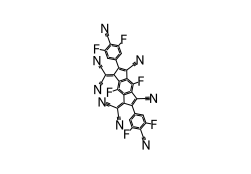 N#CC(C#N)=C1C(c2cc(F)c(C#N)c(F)c2)=C(C#N)c2c(F)c3c(c(F)c21)C(=C(C#N)C#N)C(c1cc(F)c(C#N)c(F)c1)=C3C#N